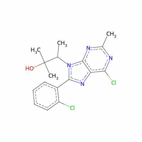 Cc1nc(Cl)c2nc(-c3ccccc3Cl)n(C(C)C(C)(C)O)c2n1